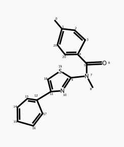 Cc1ccc(C(=O)N(C)c2nc(-c3ccccc3)cs2)cc1